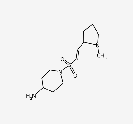 CN1CCCC1/C=C/S(=O)(=O)N1CCC(N)CC1